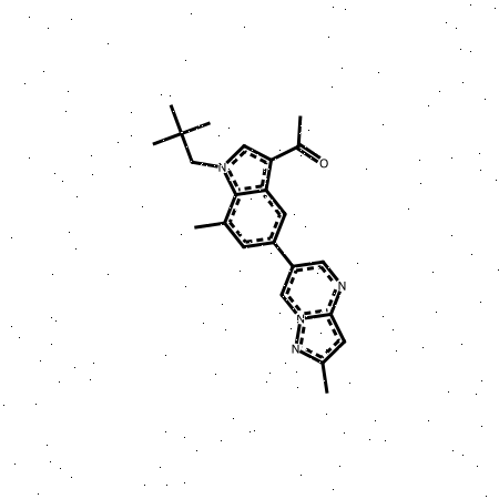 CC(=O)c1cn(CC(C)(C)C)c2c(C)cc(-c3cnc4cc(C)nn4c3)cc12